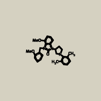 COc1ccccc1Cn1c(=O)n(C2CCN(c3c(C)cccc3C)C2)c2cccc(OC)c21